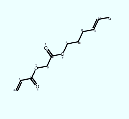 C=CC(=O)OCC(=O)OCCCC=CC